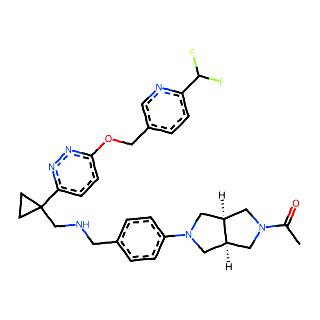 CC(=O)N1C[C@@H]2CN(c3ccc(CNCC4(c5ccc(OCc6ccc(C(F)F)nc6)nn5)CC4)cc3)C[C@@H]2C1